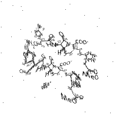 COC(=O)Cn1nnnc1SCC1=C(C(=O)[O-])N2C(=O)C(NC(=O)C(=CCl)c3csc(N)n3)[C@@H]2SC1.COC(=O)Cn1nnnc1SCC1=C(C(=O)[O-])N2C(=O)C(NC(=O)C(=CCl)c3csc(N)n3)[C@@H]2SC1.[Na+].[Na+]